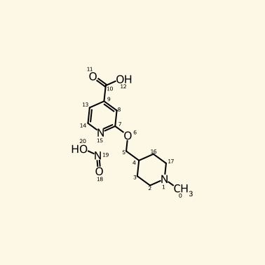 CN1CCC(COc2cc(C(=O)O)ccn2)CC1.O=NO